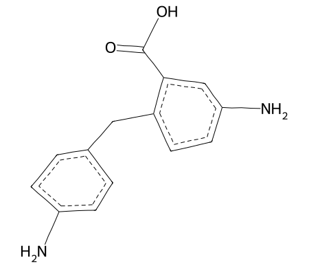 Nc1ccc(Cc2ccc(N)cc2C(=O)O)cc1